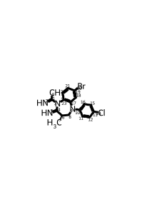 CC(=N)N1C(=N)[C@H](C)CN(c2ccc(Cl)cc2)c2cc(Br)ccc21